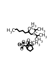 CC12CCC(C(S(=O)(=O)[O-])C1=O)C2(C)C.CCCCCC(=O)C[S+](C(C)C)C(C)C